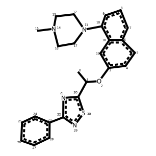 CC(Oc1ccc2cccc(N3CCN(C)CC3)c2c1)c1nc(-c2ccccc2)ns1